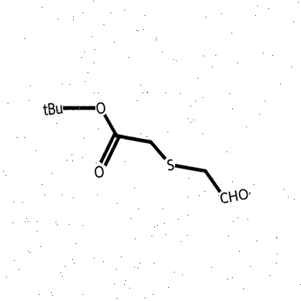 CC(C)(C)OC(=O)CSC[C]=O